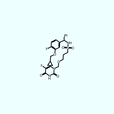 CC(C)C(NS(=O)(=O)CCCOCn1cc(F)c(=O)[nH]c1=O)c1ccc(F)c(OCC2CC2)c1